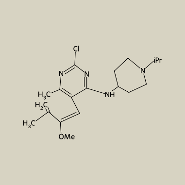 C=C(C)/C(=C\c1c(C)nc(Cl)nc1NC1CCN(C(C)C)CC1)OC